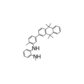 CNc1ccccc1Nc1cc(-c2ccc3c(c2)C(C)(C)c2ccccc2C3(C)C)ccc1C